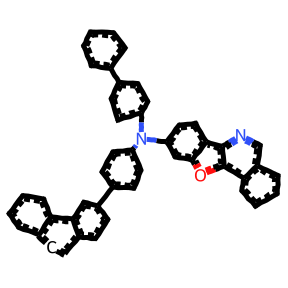 c1ccc(-c2ccc(N(c3ccc(-c4ccc5ccc6ccccc6c5c4)cc3)c3ccc4c(c3)oc3c5ccccc5cnc43)cc2)cc1